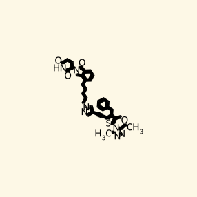 Cc1nnc2n1-c1sc(C#Cc3cnn(CCCCCc4cccc5c4CN(C4CCC(=O)NC4=O)C5=O)c3)c(Cc3ccccc3)c1CO[C@H]2C